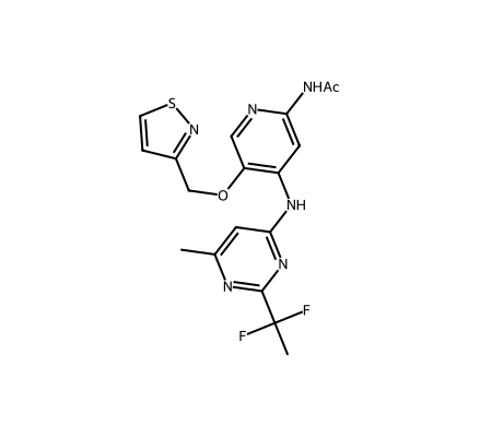 CC(=O)Nc1cc(Nc2cc(C)nc(C(C)(F)F)n2)c(OCc2ccsn2)cn1